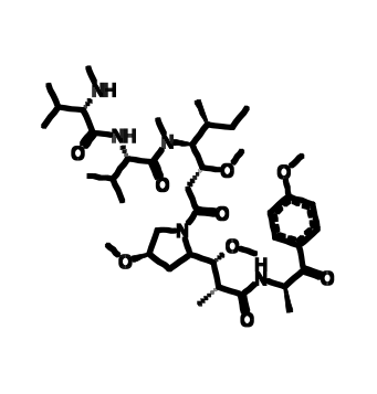 CC[C@H](C)[C@@H]([C@@H](CC(=O)N1C[C@H](OC)CC1[C@H](OC)[C@@H](C)C(=O)N[C@H](C)C(=O)c1ccc(OC)cc1)OC)N(C)C(=O)[C@@H](NC(=O)[C@@H](NC)C(C)C)C(C)C